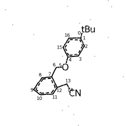 CC(C)(C)c1ccc(OCc2ccccc2CC#N)cc1